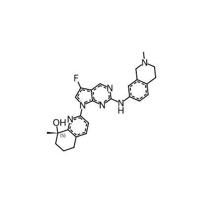 CN1CCc2ccc(Nc3ncc4c(F)cn(-c5ccc6c(n5)[C@@](C)(O)CCC6)c4n3)cc2C1